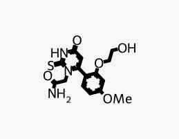 COc1ccc(-c2cc(=O)[nH]c(=S)n2CC(N)=O)c(OCCO)c1